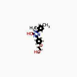 Cc1ccc(-c2nc(O)nc(-c3ccc(OCCO)cc3)n2)c(C)c1